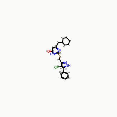 O=c1cc(CC2CCCCC2)nc(SCc2n[nH]c(-c3ccccc3)c2Cl)[nH]1